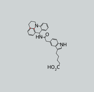 O=C(O)CCCCc1c[nH]c2ccc(CC(=O)NC(c3ccccc3)c3ccccc3N3CCCCC3)cc12